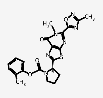 Cc1noc(-c2nc3sc([C@H]4CCCN4C(=O)Oc4ccccc4C)nc3c(=O)n2C)n1